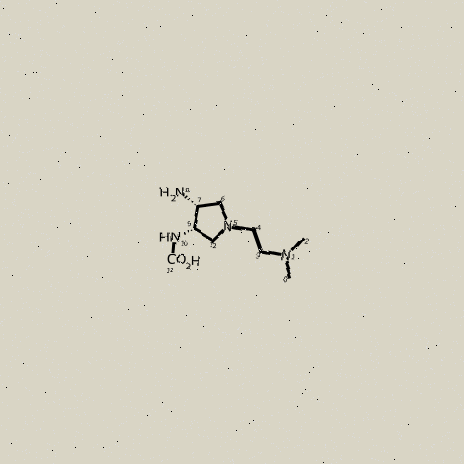 CN(C)CCN1C[C@@H](N)[C@@H](NC(=O)O)C1